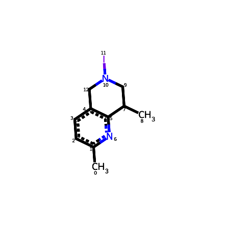 Cc1ccc2c(n1)C(C)CN(I)C2